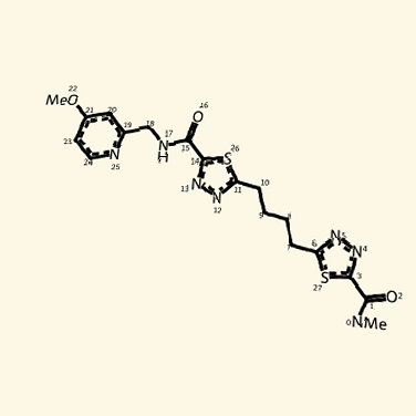 CNC(=O)c1nnc(CCCCc2nnc(C(=O)NCc3cc(OC)ccn3)s2)s1